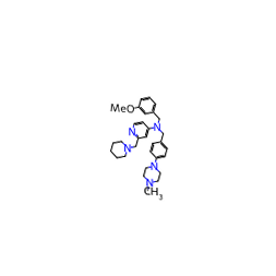 COc1cccc(CN(Cc2ccc(N3CCN(C)CC3)cc2)c2ccnc(CN3CCCCC3)c2)c1